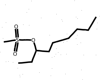 CCCCCCC(CC)OS(C)(=O)=O